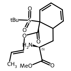 CC=COC(=O)C1(S(=O)(=O)C(C)(C)C)C=CC=CC1C[C@H](N)C(=O)OC